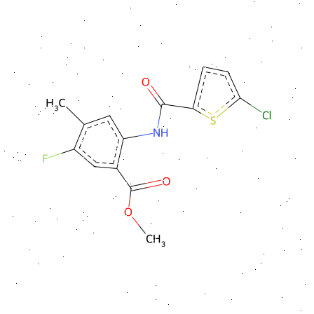 COC(=O)c1cc(F)c(C)cc1NC(=O)c1ccc(Cl)s1